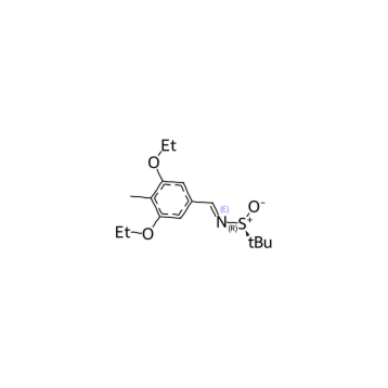 CCOc1cc(/C=N/[S@@+]([O-])C(C)(C)C)cc(OCC)c1C